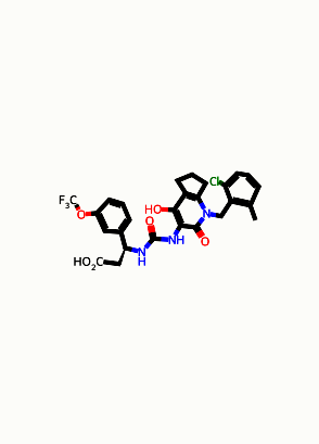 Cc1cccc(Cl)c1Cn1c2c(c(O)c(NC(=O)N[C@@H](CC(=O)O)c3cccc(OC(F)(F)F)c3)c1=O)CCC2